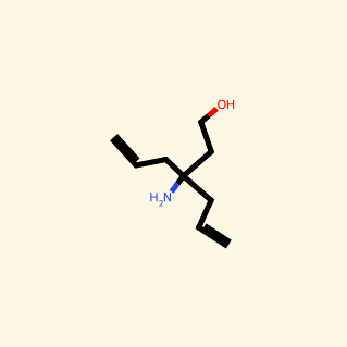 C=CCC(N)(CC=C)CCO